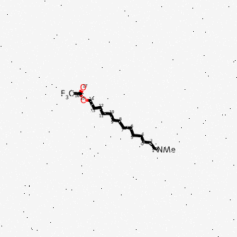 CNCCCCCCCCCCCCCCOC(=O)C(F)(F)F